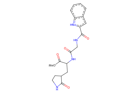 COC(=O)C(CC1CCNC1=O)NC(=O)CNC(=O)c1cc2ccccc2[nH]1